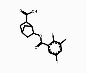 O=C(OC1CC2CC(C(=O)O)C1C2)c1cc(I)cc(I)c1I